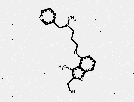 Cc1c(CO)oc2cccc(OCCCN(C)Cc3cccnc3)c12